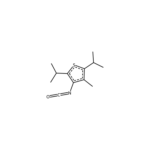 Cc1c(C(C)C)sc(C(C)C)c1N=C=O